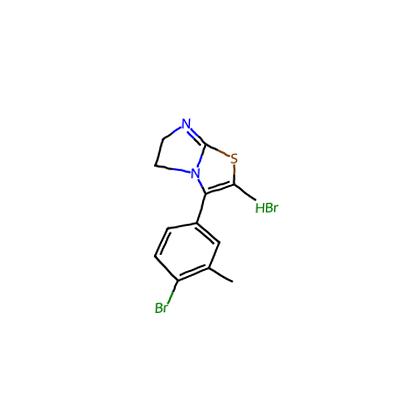 Br.CC1=C(c2ccc(Br)c(C)c2)N2CCN=C2S1